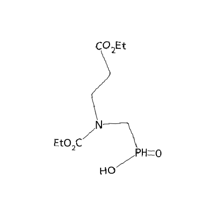 CCOC(=O)CCN(C[PH](=O)O)C(=O)OCC